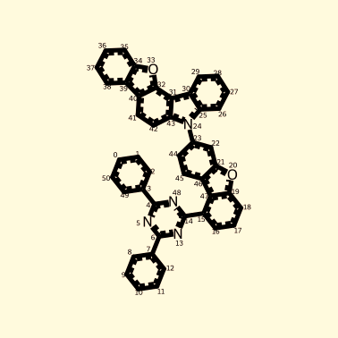 c1ccc(-c2nc(-c3ccccc3)nc(-c3cccc4oc5cc(-n6c7ccccc7c7c8oc9ccccc9c8ccc76)ccc5c34)n2)cc1